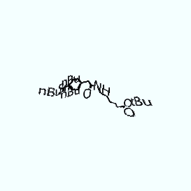 CCC[CH2][Sn]([CH2]CCC)([CH2]CCC)[c]1ccc(CC(=O)NCCCCCC(=O)OC(C)(C)C)cc1